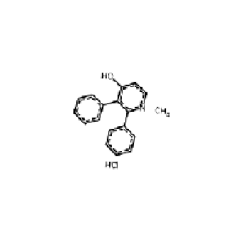 C.Cl.Oc1ccnc(-c2ccccc2)c1-c1ccccc1